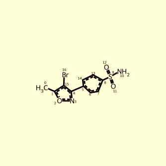 Cc1onc(-c2ccc(S(N)(=O)=O)cc2)c1Br